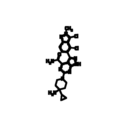 Cn1nc2ccc(-c3n[nH]c4nc(N5CCC(N)(C6CC6)CC5)nc(C(N)=O)c34)c(Cl)c2c1Cl